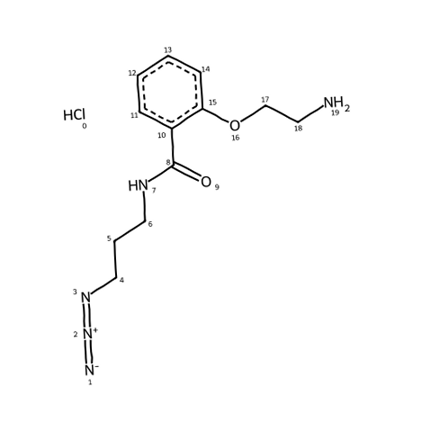 Cl.[N-]=[N+]=NCCCNC(=O)c1ccccc1OCCN